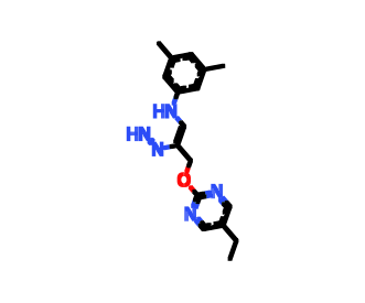 CCc1cnc(OC/C(=C/Nc2cc(C)cc(C)c2)N=N)nc1